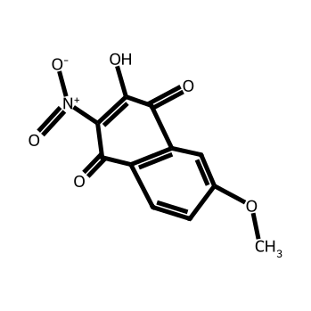 COc1ccc2c(c1)C(=O)C(O)=C([N+](=O)[O-])C2=O